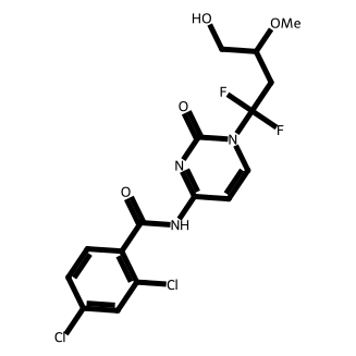 COC(CO)CC(F)(F)n1ccc(NC(=O)c2ccc(Cl)cc2Cl)nc1=O